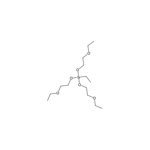 CCOCCO[Si](CC)(OCCOCC)OCCOCC